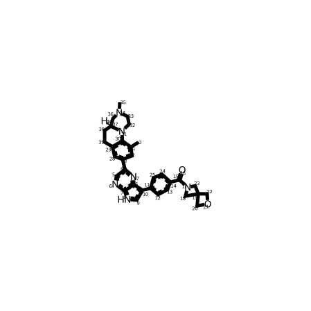 Cc1cc(-c2cnc3[nH]cc(-c4ccc(C(=O)N5CC6(COC6)C5)cc4)c3n2)cc2c1N1CCN(C)C[C@@H]1CC2